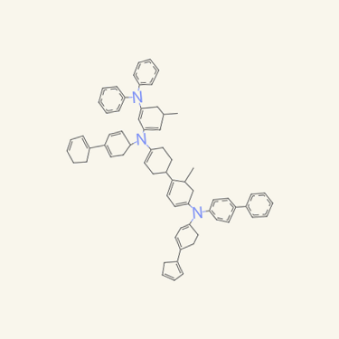 CC1C=C(N(C2=CCC(C3=CC=C(N(C4=CC=C(C5=CC=CC5)CC4)c4ccc(-c5ccccc5)cc4)CC3C)CC2)C2C=CC(C3=CC=CCC3)=CC2)C=C(N(c2ccccc2)c2ccccc2)C1